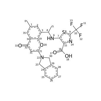 Cc1cc(C(C)Nc2sc(C(F)(F)F)nc2C(=O)O)c2oc(N3Cc4ccccc4C3)cc(=O)c2c1